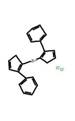 C1=CC(c2ccccc2)=[C]([Zr+2][C]2=C(c3ccccc3)C=CC2)C1.[Cl-].[Cl-]